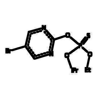 CCOP(=S)(Oc1ncc(Br)cn1)OC(C)C